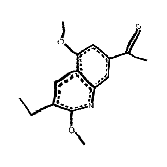 CCc1cc2c(OC)cc(C(C)=O)cc2nc1OC